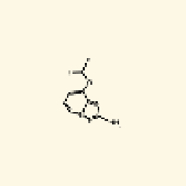 Nc1nc2c(OC(F)F)cccn2n1